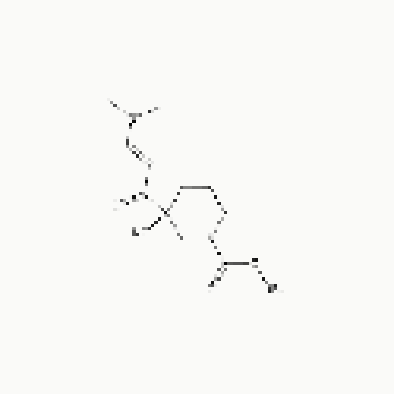 CN(C)C=CC(=O)C1(C#N)CCCN(C(=O)OC(C)(C)C)C1